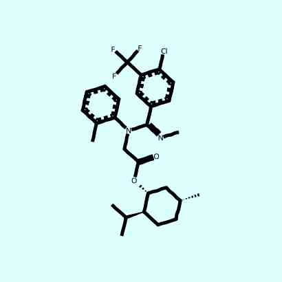 C/N=C(\c1ccc(Cl)c(C(F)(F)F)c1)N(CC(=O)O[C@@H]1C[C@H](C)CC[C@H]1C(C)C)c1ccccc1C